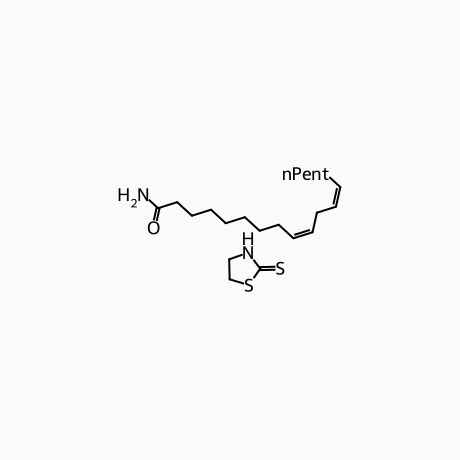 CCCCC/C=C\C/C=C\CCCCCCCC(N)=O.S=C1NCCS1